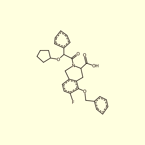 O=C(O)C1Cc2c(ccc(F)c2OCc2ccccc2)CN1C(=O)C(OC1CCCC1)c1ccccc1